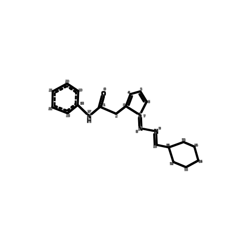 O=C(CC1=CC=CS1=NN=CC1CCCCC1)Nc1ccccc1